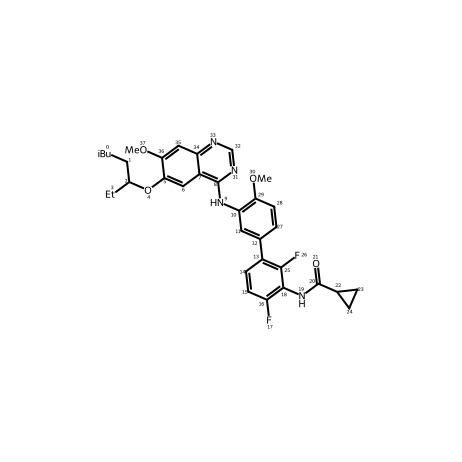 CCC(C)CC(CC)Oc1cc2c(Nc3cc(-c4ccc(F)c(NC(=O)C5CC5)c4F)ccc3OC)ncnc2cc1OC